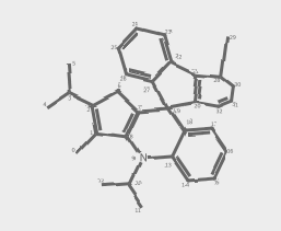 CC1=C(C(C)C)CC2=C1N(C(C)C)c1ccccc1C21C2=C(c3ccccc31)C(C)CC=C2